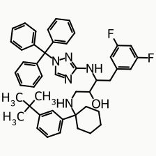 CC(C)(C)c1cccc(C2(NCC(O)C(Cc3cc(F)cc(F)c3)Nc3ncn(C(c4ccccc4)(c4ccccc4)c4ccccc4)n3)CCCCC2)c1